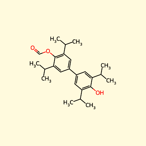 CC(C)c1cc(-c2cc(C(C)C)c(OC=O)c(C(C)C)c2)cc(C(C)C)c1O